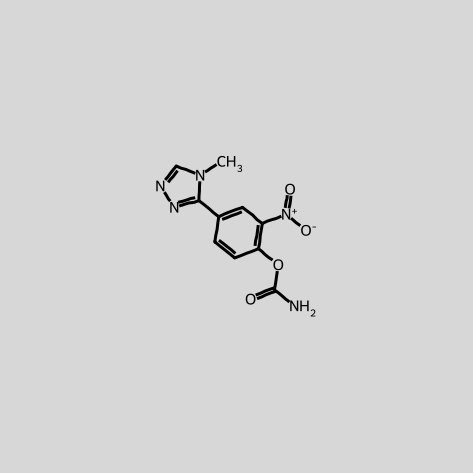 Cn1cnnc1-c1ccc(OC(N)=O)c([N+](=O)[O-])c1